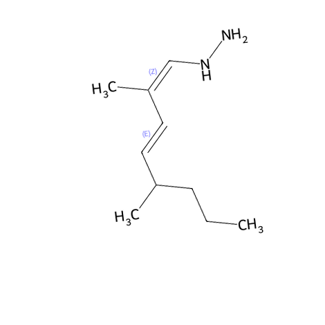 CCCC(C)/C=C/C(C)=C\NN